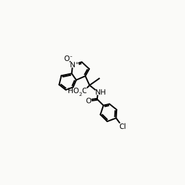 CC(NC(=O)c1ccc(Cl)cc1)(C(=O)O)c1cc[n+]([O-])c2ccccc12